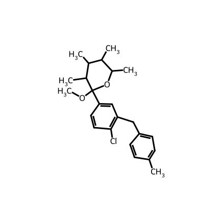 COC1(c2ccc(Cl)c(Cc3ccc(C)cc3)c2)OC(C)C(C)C(C)C1C